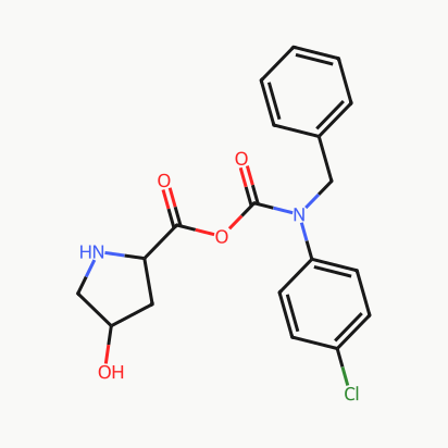 O=C(OC(=O)N(Cc1ccccc1)c1ccc(Cl)cc1)C1CC(O)CN1